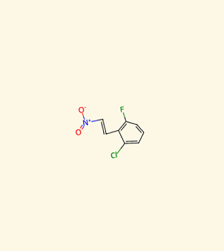 O=[N+]([O-])/C=C/c1c(F)cccc1Cl